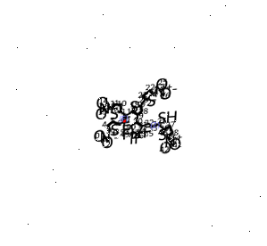 O=[N+]([O-])c1ccc(/C=C(\c2ccc([N+](=O)[O-])s2)c2sc(-c3ccc([N+](=O)[O-])s3)cc2C2=C(C/C=C(\S)c3ccc([N+](=O)[O-])s3)C(F)(F)C(F)(F)C2(F)F)s1